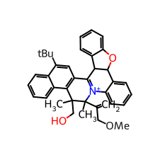 C=C(COC)C1(C)[N+]2=C(c3cc(C(C)(C)C)c4ccccc4c3C1(C)CO)C1c3ccccc3OC1c1ccccc12